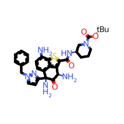 CC(C)(C)OC(=O)N1CCC[C@@H](NC(=O)c2sc3c(N)ccc4c3c2[C@@H](N)C(=O)[C@]4(N)c2ccn(Cc3ccccc3)n2)C1